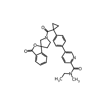 CCN(C)C(=O)c1ccc(-c2ccc(C3(C(=O)N4CCC5(C4)OC(=O)c4ccccc45)CC3)cc2)cn1